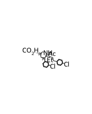 CCC(CCc1ccc(Cl)cc1)(C(C)=O)[C@H]1NC[C@@H](CC(=O)O)C[C@@H]1c1cccc(Cl)c1